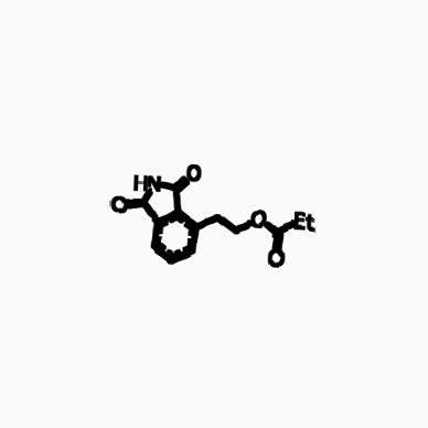 CCC(=O)OCCc1cccc2c1C(=O)NC2=O